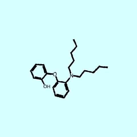 CCCCCN(CCCCC)c1ccccc1Oc1ccccc1O